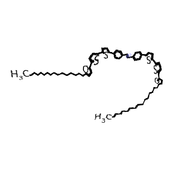 CCCCCCCCCCCCCCCCc1ccc(-c2ccc(-c3ccc(-c4ccc(/C=C/c5ccc(-c6ccc(-c7ccc(-c8ccc(CCCCCCCCCCCCCCCC)o8)s7)s6)cc5)cc4)s3)s2)o1